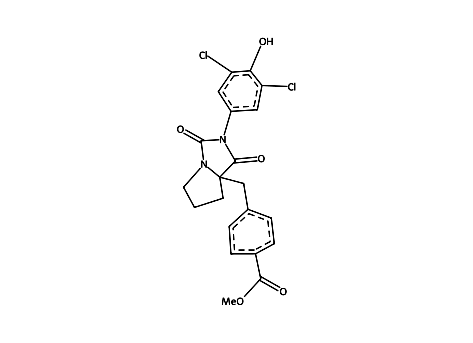 COC(=O)c1ccc(CC23CCCN2C(=O)N(c2cc(Cl)c(O)c(Cl)c2)C3=O)cc1